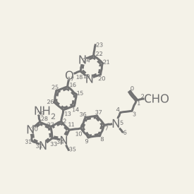 C=C(C=O)CCN(C)c1ccc(-c2c(-c3ccc(Oc4nccc(C)n4)cc3)c3c(N)ncnc3n2C)cc1